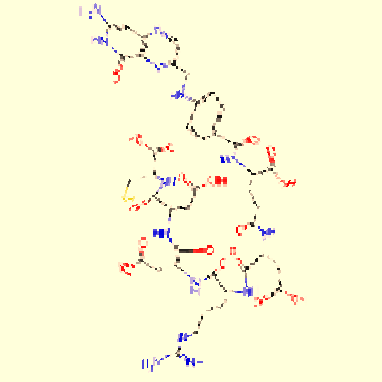 N=C(N)NCCC[C@@H](NC(=O)[C@@H](CC(=O)O)NC(=O)CC[C@H](NC(=O)c1ccc(NCc2cnc3cc(N)[nH]c(=O)c3n2)cc1)C(=O)O)C(=O)N[C@H](CC(=O)O)C(=O)N[C@H](CC(=O)O)C(=O)N[C@H](CS)C(=O)O